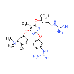 CN(C)c1cc(Oc2nc(Oc3cccc(NC(=N)N)c3)nc(OC(CCCNC(=N)N)C(=O)O)c2[N+](=O)[O-])ccc1C#N